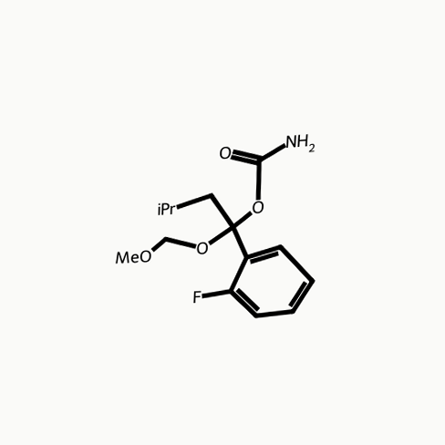 COCOC(CC(C)C)(OC(N)=O)c1ccccc1F